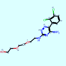 Nc1nc(NCCOCCOCCO)nnc1-c1cccc(Cl)c1Cl